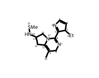 CCC1C=CN=C1C1=NCC(C)=C2CC(NSC)CN12